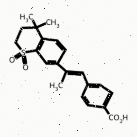 C/C(=C\c1ccc(C(=O)O)cc1)c1ccc2c(c1)S(=O)(=O)CCC2(C)C